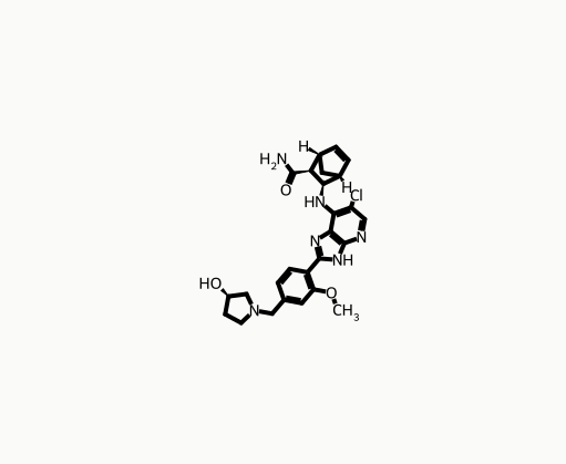 COc1cc(CN2CC[C@@H](O)C2)ccc1-c1nc2c(N[C@H]3[C@@H](C(N)=O)[C@@H]4C=C[C@H]3C4)c(Cl)cnc2[nH]1